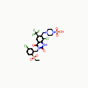 CCS(=O)(=O)c1ccc(Cl)cc1Cn1c(=O)[nH]c2c(Cl)c(CN3CCN(S(=O)(=O)O)CC3)c(C(F)(F)F)cc2c1=O